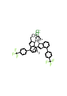 CCC1=Cc2c(-c3ccc(C(F)(F)F)cc3)cccc2[CH]1[Hf+2]1([CH]2C(CC)=Cc3c(-c4ccc(C(F)(F)F)cc4)cccc32)[CH2]C[CH2]1.[Cl-].[Cl-]